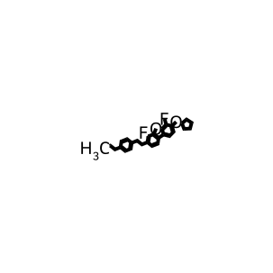 CCCc1ccc(CCc2ccc3c(oc4c(F)c(OC5CCCC5)ccc43)c2F)cc1